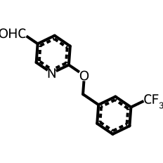 O=Cc1ccc(OCc2cccc(C(F)(F)F)c2)nc1